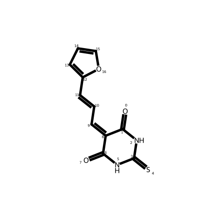 O=C1NC(=S)NC(=O)C1=C/C=C/c1ccco1